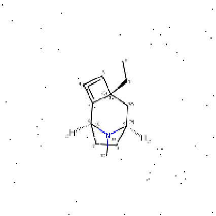 CC[C@]12C=C=C1[C@@H]1CC[C@H](C2)N1C